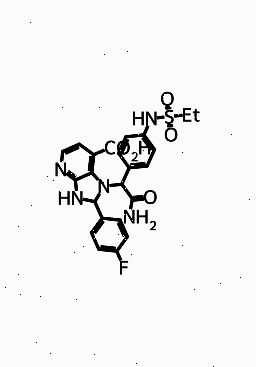 CCS(=O)(=O)Nc1ccc(C(C(N)=O)N2c3c(C(=O)O)ccnc3NC2c2ccc(F)cc2)cc1